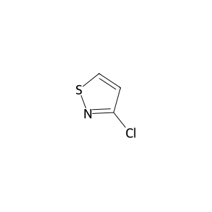 Clc1ccsn1